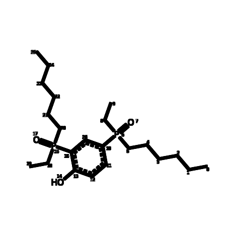 CCCCCCP(=O)(CC)c1ccc(O)c(P(=O)(CC)CCCCCC)c1